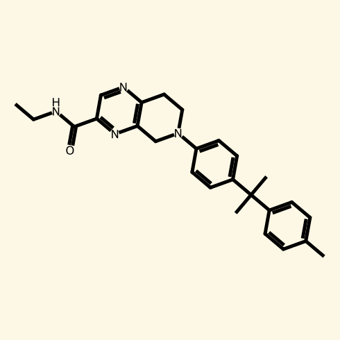 CCNC(=O)c1cnc2c(n1)CN(c1ccc(C(C)(C)c3ccc(C)cc3)cc1)CC2